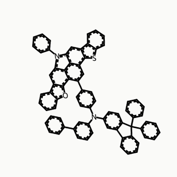 c1ccc(-c2cccc(N(c3ccc(-c4cc5c6sc7ccccc7c6cc6c5c5c4c4oc7ccccc7c4cc5n6-c4ccccc4)cc3)c3ccc4c(c3)-c3ccccc3C4(c3ccccc3)c3ccccc3)c2)cc1